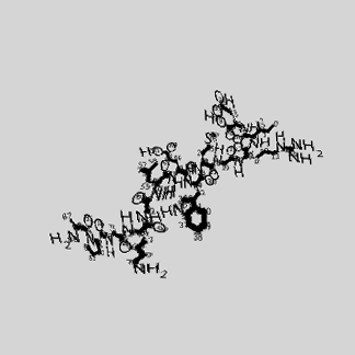 CC[C@H](C)[C@H](NC(=O)[C@H](CCCNC(=N)N)NC(=O)CNC(=O)[C@H](CCSC)NC(=O)[C@H](Cc1c[nH]c2ccccc12)NC(=O)[C@H](CCC(=O)O)NC(=O)[C@H](CC(C)C)NC(=O)CNC(=O)[C@H](CCCCN)NC(=O)CNC(=O)[C@@H]1CCCN1C(=O)[C@H](C)N)C(=O)N[C@@H](CC(=O)O)C(=O)O